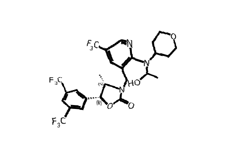 CC(O)N(c1ncc(C(F)(F)F)cc1CN1C(=O)O[C@H](c2cc(C(F)(F)F)cc(C(F)(F)F)c2)[C@@H]1C)C1CCOCC1